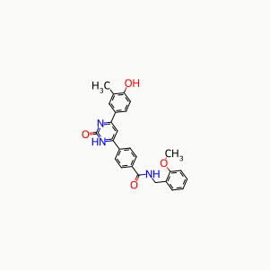 COc1ccccc1CNC(=O)c1ccc(-c2cc(-c3ccc(O)c(C)c3)nc(=O)[nH]2)cc1